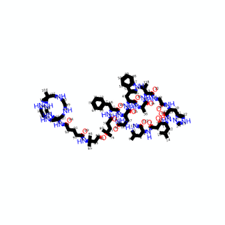 CC(C)CC(NC(=O)CC(O)C(CC(C)C)NC(=O)C(Cc1c[nH]cn1)NC(=O)CNC(=O)C(NC(=O)C(C)NC(=O)C(Cc1c[nH]c2ccccc12)NC(=O)C(CCC(N)=O)NC(=O)C(Cc1ccccc1)NC(=O)CCC(C)(C)OCCC(C)(C)NC(=O)CCCC(=O)NC12CNCCNCC(C)(CNCCNC1)CNCCNC2)C(C)C)C(N)=O